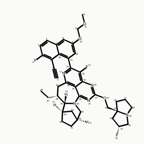 C#Cc1c(F)ccc2cc(OCOC)cc(-c3nc4c5c(nc(OC[C@@]67CCCN6C[C@H](F)C7)nc5c3F)N3C[C@H]5CC[C@H](C5)[C@@H]3[C@H](CC)C4)c12